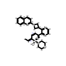 C=C(/C=C\C(=C/C)S(=O)(=O)N1CCOCC1)c1nccnc1C1CN(c2ccc3ccccc3n2)C1